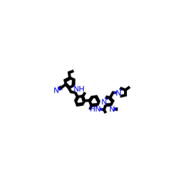 C=Nc1cc(CN2CCC(C)C2)cnc1C(C)Nc1cccc(-c2cccc(C3Cc4c(C#N)cc(CC)cc4N3)c2C)c1C